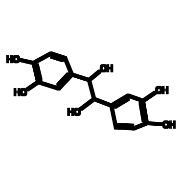 Oc1ccc(C(O)C(O)c2ccc(O)c(O)c2)cc1O